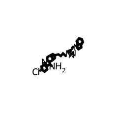 Nc1c2c(nc3cc(Cl)ccc13)CC1C=C(CCCCn3cc(Cn4ccc5ccccc54)nn3)CC2C1